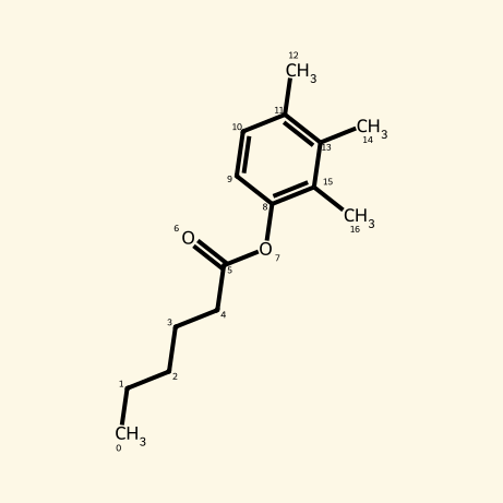 CCCCCC(=O)Oc1ccc(C)c(C)c1C